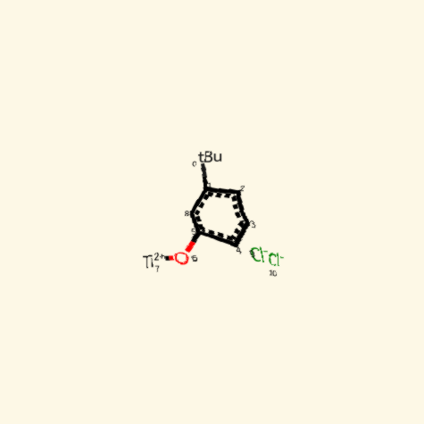 CC(C)(C)c1cccc([O][Ti+2])c1.[Cl-].[Cl-]